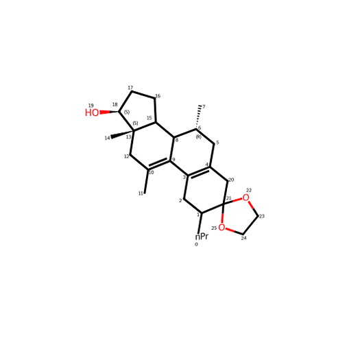 CCCC1CC2=C(C[C@@H](C)C3C2=C(C)C[C@@]2(C)C3CC[C@@H]2O)CC12OCCO2